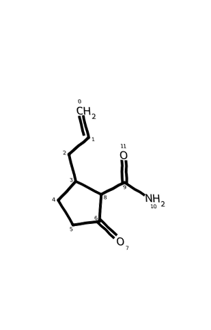 C=CCC1CCC(=O)C1C(N)=O